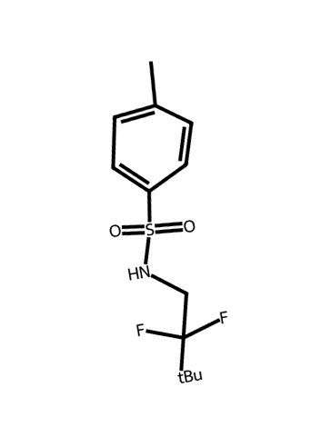 Cc1ccc(S(=O)(=O)NCC(F)(F)C(C)(C)C)cc1